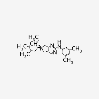 C=C(C)[C@H](C)C[C@@H](CCC)N1Cc2cnc(Nc3cc(C)cc(C)c3)nc2C1